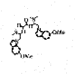 COc1ccc2ccn(CC(OC(=O)C(=O)OC(Cn3ccc4ccc(OC)cc43)N(C)C)N(C)C)c2c1